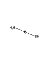 CCCCCCCCCCCCCCCC(=O)OCCCCCCCCCCCCCCO